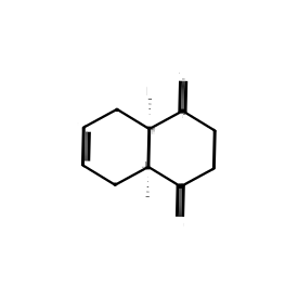 O=C1CCC(=O)[C@@H]2CC=CC[C@H]12